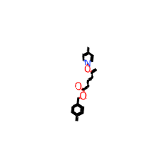 C=C(CCCC(=O)OCc1ccc(C)cc1)ON1C=CC(C)=CC1